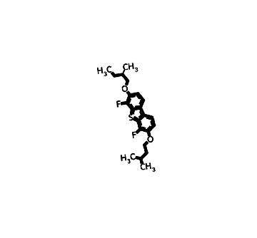 CC[C@H](C)COc1ccc2c(sc3c(F)c(OCCC(C)C)ccc32)c1F